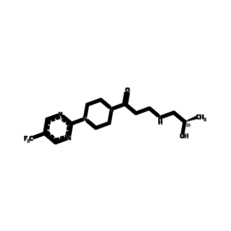 C[C@H](O)CNCCC(=O)N1CCN(c2ncc(C(F)(F)F)cn2)CC1